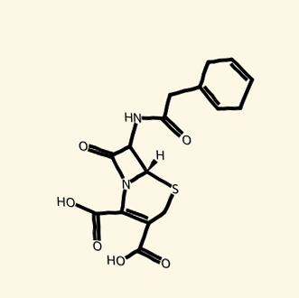 O=C(CC1=CCC=CC1)NC1C(=O)N2C(C(=O)O)=C(C(=O)O)CS[C@@H]12